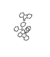 c1ccc(-n2c3ccccc3c3cccc([Si](c4ccccc4)(c4ccccc4)c4ccc(-n5c6ccccc6c6ccccc65)cc4)c32)cc1